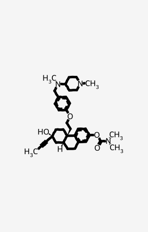 CC#C[C@@]1(O)CC[C@]2(CCOc3ccc(CN(C)C4CCN(C)CC4)cc3)c3ccc(OC(=O)N(C)C)cc3CC[C@H]2C1